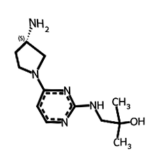 CC(C)(O)CNc1nccc(N2CC[C@H](N)C2)n1